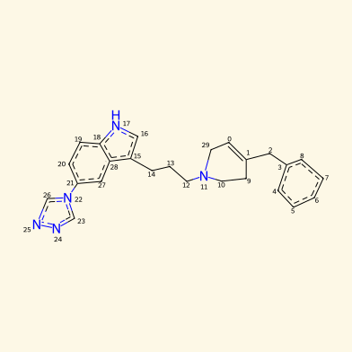 C1=C(Cc2ccccc2)CCN(CCCc2c[nH]c3ccc(-n4cnnc4)cc23)C1